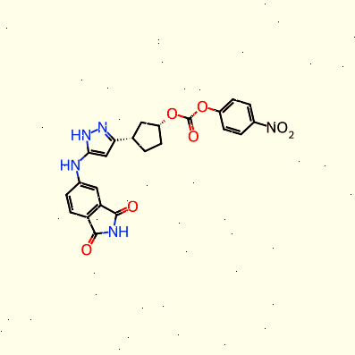 O=C(Oc1ccc([N+](=O)[O-])cc1)O[C@@H]1CC[C@H](c2cc(Nc3ccc4c(c3)C(=O)NC4=O)[nH]n2)C1